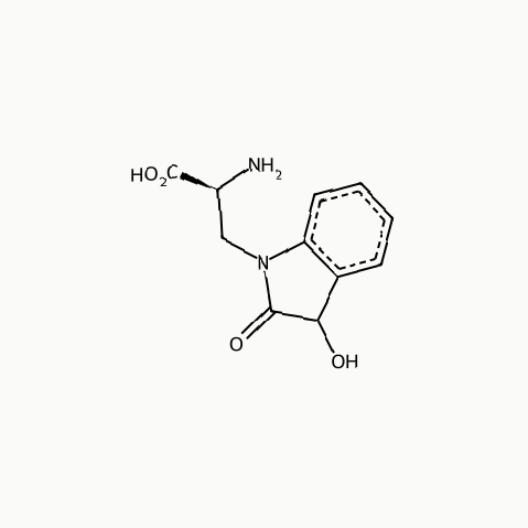 N[C@@H](CN1C(=O)C(O)c2ccccc21)C(=O)O